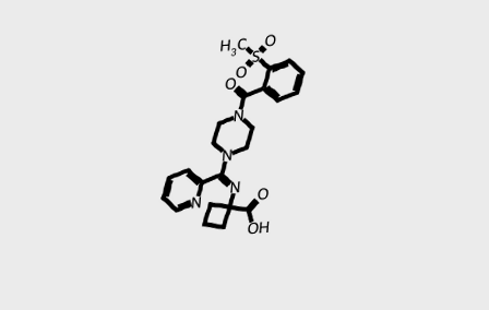 CS(=O)(=O)c1ccccc1C(=O)N1CCN(C(=NC2(C(=O)O)CCC2)c2ccccn2)CC1